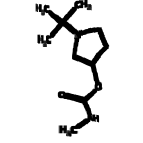 CNC(=O)OC1CCN(C(C)(C)C)C1